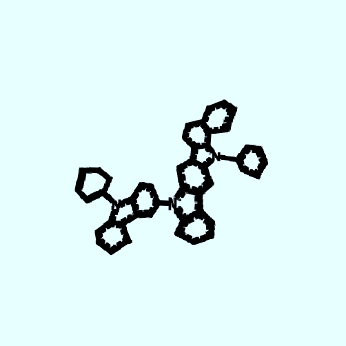 C1=CCCC(n2c3ccccc3c3cc(-n4c5ccccc5c5cc6c(cc54)c4ccc5ccccc5c4n6-c4ccccc4)ccc32)=C1